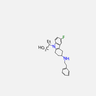 CCC(C(=O)O)n1c2c(c3cc(F)ccc31)CC(NCCc1ccccc1)CC2